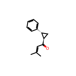 CC(C)=CC(=O)[C@@H]1C[C@H]1c1ccccc1